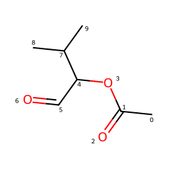 CC(=O)OC(C=O)C(C)C